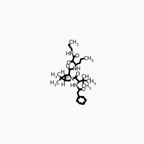 C=CCNC(=O)C(=O)C(CCC)NC(=O)C1[C@@H]2[C@H](CN1C(=O)C(NC(=O)Cc1ccccc1)C(C)(C)C)C2(C)C